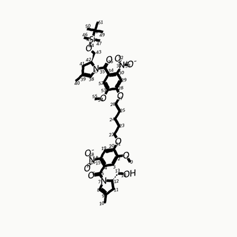 COc1cc(C(=O)N2C=C(C)C[C@H]2CO)c([N+](=O)[O-])cc1OCCCCCOc1cc([N+](=O)[O-])c(C(=O)N2C=C(C)C[C@H]2CO[Si](C)(C)C(C)(C)C)cc1OC